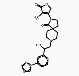 CC1=C(N2CCC3(CCN(CC(O)c4cc(-n5cnnn5)ccn4)CC3)C2=O)COC1=O